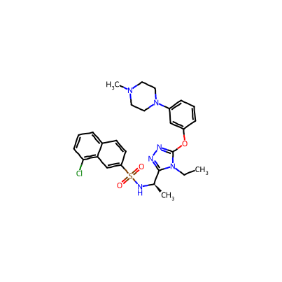 CCn1c(Oc2cccc(N3CCN(C)CC3)c2)nnc1[C@@H](C)NS(=O)(=O)c1ccc2cccc(Cl)c2c1